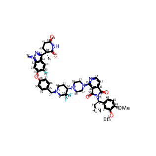 CCOc1cc([C@@H](CC#N)N2C(=O)c3ccnc(N4CCN([C@@H]5CCN(Cc6ccc(Oc7cc8c(cc7F)c([C@@]7(C)CCC(=O)NC7=O)nn8C)cc6)CC5(F)F)CC4)c3C2=O)ccc1OC